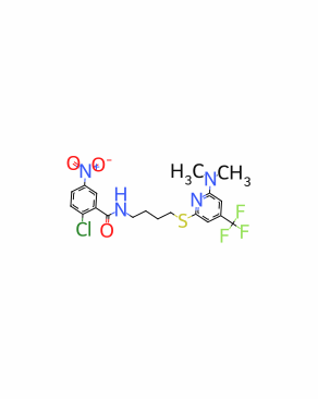 CN(C)c1cc(C(F)(F)F)cc(SCCCCNC(=O)c2cc([N+](=O)[O-])ccc2Cl)n1